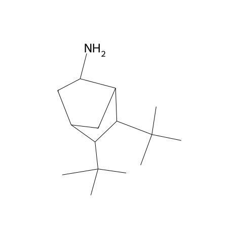 CC(C)(C)C1C2CC(N)C(C2)C1C(C)(C)C